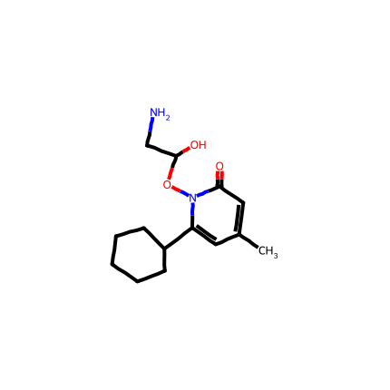 Cc1cc(C2CCCCC2)n(OC(O)CN)c(=O)c1